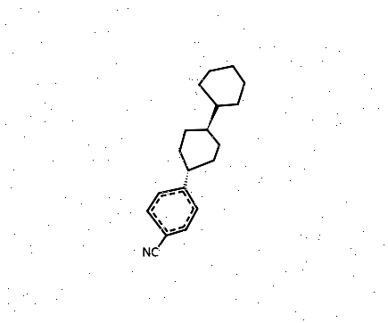 N#Cc1ccc([C@H]2CC[C@H](C3CCCCC3)CC2)cc1